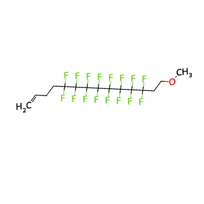 C=CCCC(F)(F)C(F)(F)C(F)(F)C(F)(F)C(F)(F)C(F)(F)C(F)(F)C(F)(F)CCOC